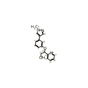 Cn1cc(-c2c[c]cc(OC(CO)c3ccccn3)c2)cn1